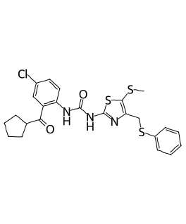 CSc1sc(NC(=O)Nc2ccc(Cl)cc2C(=O)C2CCCC2)nc1CSc1ccccc1